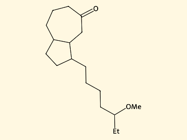 CCC(CCCCC1CCC2CCCC(=O)CC12)OC